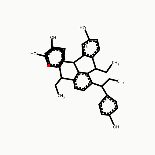 CCC(c1ccc(O)cc1)c1ccc(C(CC)c2ccc(O)cc2)c(C(CC)c2ccc(O)cc2)c1C(CC)c1ccc(O)cc1